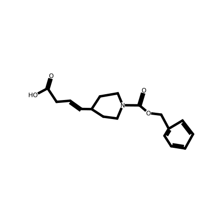 O=C(O)CC=CC1CCN(C(=O)OCc2ccccc2)CC1